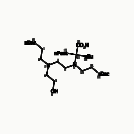 CCCCCCCCCCCCN(CCO)CCN(CCCCCCCCCCCC)C(CCCC)(CCCCC)C(=O)O